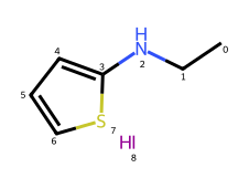 CCNc1cccs1.I